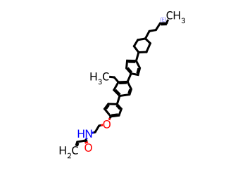 C=CC(=O)NCCOc1ccc(-c2ccc(-c3ccc(C4CCC(CC/C=C/C)CC4)cc3)c(CC)c2)cc1